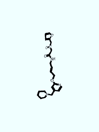 O=C(C[S+]([O-])Cc1ccco1)NCC=CCOc1cc(CN2CCCCC2)ccn1